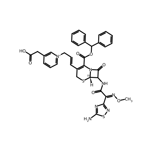 CON=C(C(=O)NC1C(=O)N2C(C(=O)OC(c3ccccc3)c3ccccc3)=C(C=CC[n+]3cccc(CC(=O)O)c3)CS[C@@H]12)c1nsc(N)n1